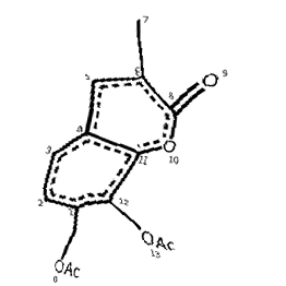 CC(=O)Oc1ccc2cc(C)c(=O)oc2c1OC(C)=O